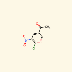 CC(=O)c1cbc(Cl)c([N+](=O)[O-])c1